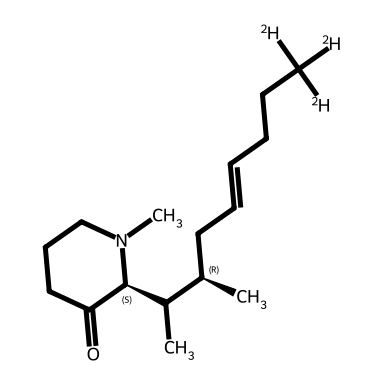 [2H]C([2H])([2H])CCC=CC[C@@H](C)C(C)[C@H]1C(=O)CCCN1C